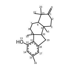 C=C1CCC2(C)C(CCC3(C)c4c(O)cc(C)cc4CC32)C1(C)C